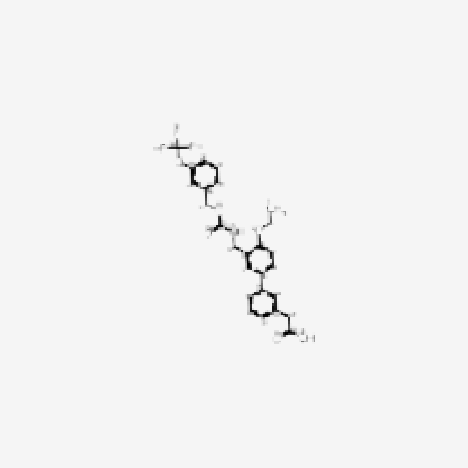 CCOc1ccc(-c2cccc(CC(=O)O)c2)cc1CNC(=O)OCc1cccc(OC(F)(F)F)c1